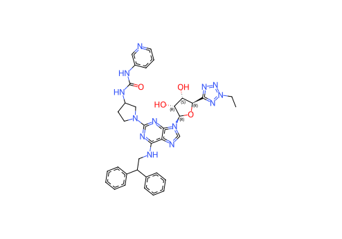 CCn1nnc([C@H]2O[C@@H](n3cnc4c(NCC(c5ccccc5)c5ccccc5)nc(N5CCC(NC(=O)Nc6cccnc6)C5)nc43)[C@H](O)[C@@H]2O)n1